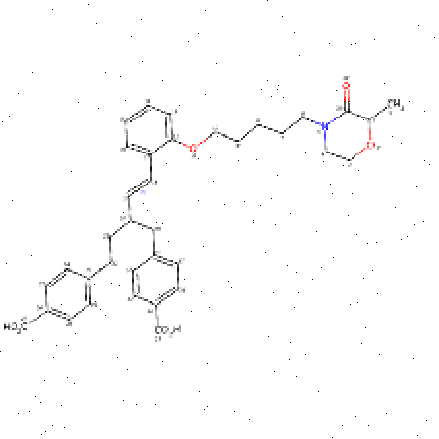 CC1OCCN(CCCCCOc2ccccc2/C=C/C(CCc2ccc(C(=O)O)cc2)Cc2ccc(C(=O)O)cc2)C1=O